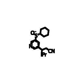 CC(C)C(CC#N)c1cncc([S+]([O-])C2CCCCC2)c1